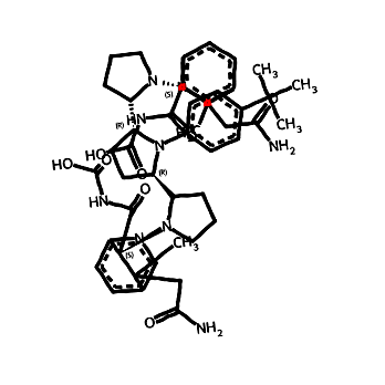 CC(C)(C)c1ccc(N2[C@@H](C3CCCN3[C@]3(C(=O)NC(=O)O)c4ccc(cn4)C3(C)CC(N)=O)CC[C@@H]2C2CCCN2[C@]2(C(=O)NC(=O)O)c3ccc(cn3)C2(C)CC(N)=O)cc1